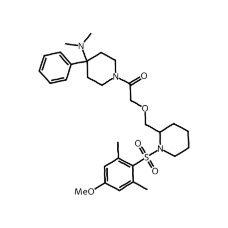 COc1cc(C)c(S(=O)(=O)N2CCCCC2COCC(=O)N2CCC(c3ccccc3)(N(C)C)CC2)c(C)c1